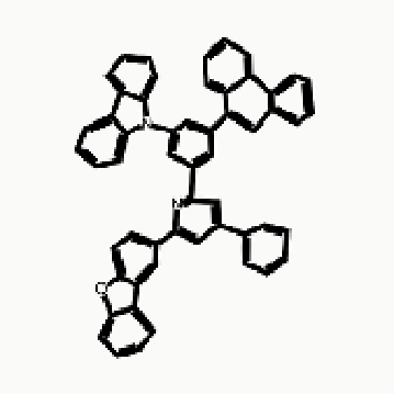 c1ccc(-c2cc(-c3cc(-c4cc5ccccc5c5ccccc45)cc(-n4c5ccccc5c5ccccc54)c3)nc(-c3ccc4oc5ccccc5c4c3)c2)cc1